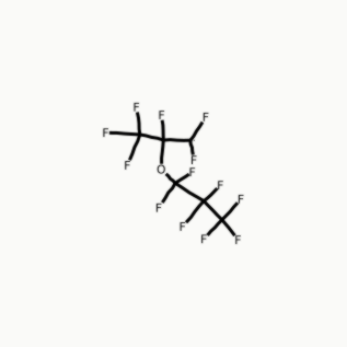 F[C](F)C(F)(OC(F)(F)C(F)(F)C(F)(F)F)C(F)(F)F